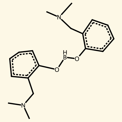 CN(C)Cc1ccccc1OBOc1ccccc1CN(C)C